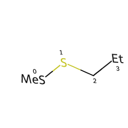 [CH2]SSCCC